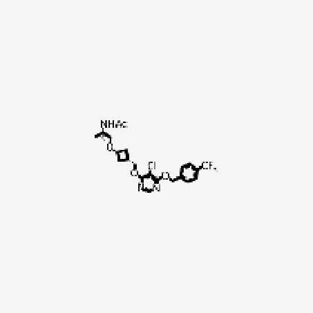 CC(=O)N[C@@H](C)CO[C@H]1C[C@H](COc2ncnc(OCc3ccc(C(F)(F)F)cc3)c2Cl)C1